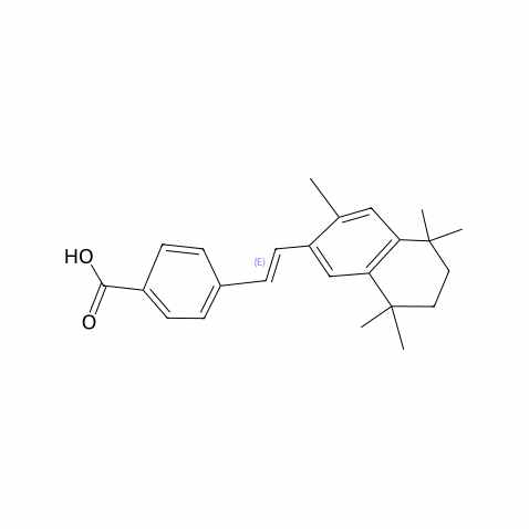 Cc1cc2c(cc1/C=C/c1ccc(C(=O)O)cc1)C(C)(C)CCC2(C)C